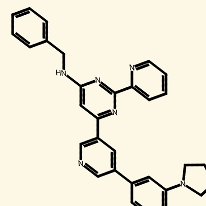 c1ccc(CNc2cc(-c3cncc(-c4cccc(N5CCCC5)c4)c3)nc(-c3ccccn3)n2)cc1